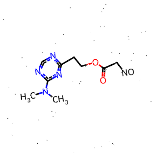 CN(C)c1ncnc(CCOC(=O)CN=O)n1